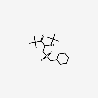 CC(C)(C)NC(CS(=O)(=O)CC1CCCCC1)C(=O)C(C)(C)C